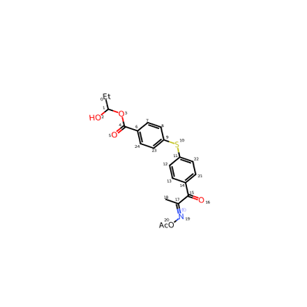 CCC(O)OC(=O)c1ccc(Sc2ccc(C(=O)/C(C)=N/OC(C)=O)cc2)cc1